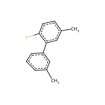 Cc1cccc(-c2cc(C)ccc2F)c1